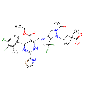 CCOC(=O)C1=C(CN2CC(F)(F)C3C2CN(C(C)=O)N3CCC(C)(C)C(=O)O)NC(c2nccs2)=NC1c1ccc(F)c(F)c1C